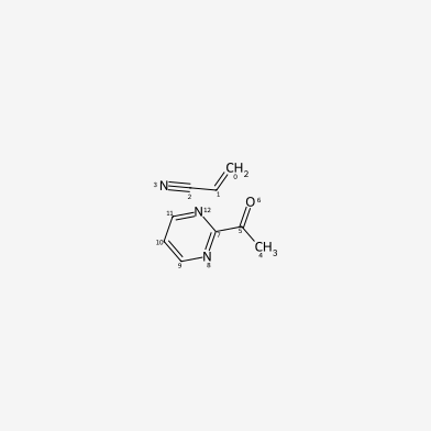 C=CC#N.CC(=O)c1ncccn1